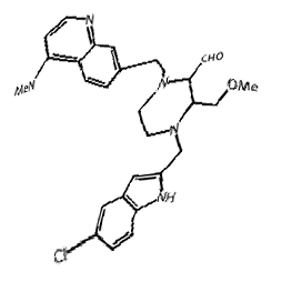 CNc1ccnc2cc(CN3CCN(Cc4cc5cc(Cl)ccc5[nH]4)C(COC)C3C=O)ccc12